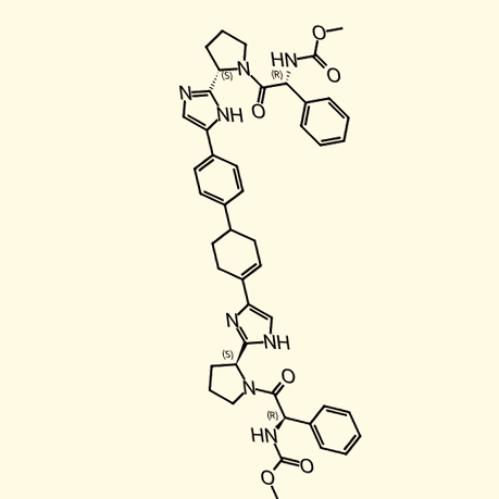 COC(=O)N[C@@H](C(=O)N1CCC[C@H]1c1nc(C2=CCC(c3ccc(-c4cnc([C@@H]5CCCN5C(=O)[C@H](NC(=O)OC)c5ccccc5)[nH]4)cc3)CC2)c[nH]1)c1ccccc1